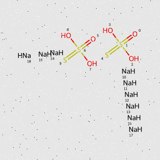 O=S(O)(O)=S.O=S(O)(O)=S.[NaH].[NaH].[NaH].[NaH].[NaH].[NaH].[NaH].[NaH].[NaH]